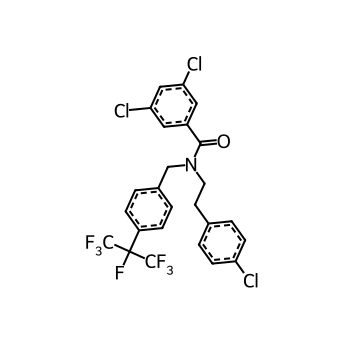 O=C(c1cc(Cl)cc(Cl)c1)N(CCc1ccc(Cl)cc1)Cc1ccc(C(F)(C(F)(F)F)C(F)(F)F)cc1